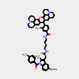 COc1ccc2c(c1)c(CC(=O)NCCCCNC(=O)c1ccc(C3=c4cc5c6c(c4Oc4c3cc3c7c4CCCN7CCC3)CCC[N+]=6CCC5)c(C)c1)c(C)n2C(=O)c1ccc(C)cc1